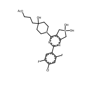 CC(=O)OCCCC1(O)CCN(c2nc(-c3cc(F)c(Cl)cc3F)nc3c2CS(O)(O)C3)CC1